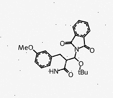 COc1cccc(CC(C([NH])=O)C(OC(C)(C)C)N2C(=O)c3ccccc3C2=O)c1